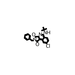 CC(C)(C)Nc1nc2c(c3cc(Cl)ccc13)C(=O)N(Cc1ccccc1)C2=O